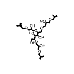 C=C(C)COCC(O)COCC(OCC(O)COCC(=C)C)C(O)C(O)C(CO)OCC(O)COCC(=C)C